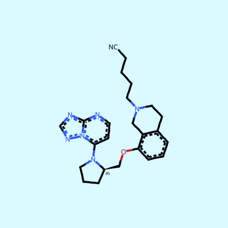 N#CCCCCN1CCc2cccc(OC[C@H]3CCCN3c3ccnc4ncnn34)c2C1